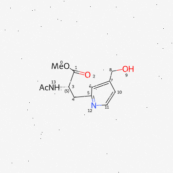 COC(=O)[C@H](Cc1cc(CO)ccn1)NC(C)=O